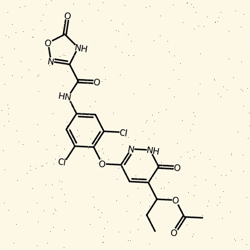 CCC(OC(C)=O)c1cc(Oc2c(Cl)cc(NC(=O)c3noc(=O)[nH]3)cc2Cl)n[nH]c1=O